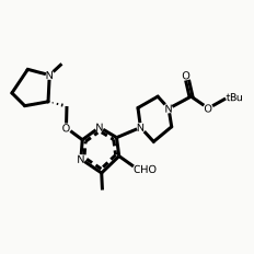 Cc1nc(OC[C@@H]2CCCN2C)nc(N2CCN(C(=O)OC(C)(C)C)CC2)c1C=O